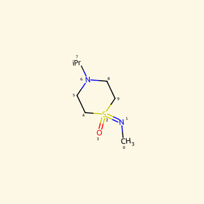 CN=S1(=O)CCN(C(C)C)CC1